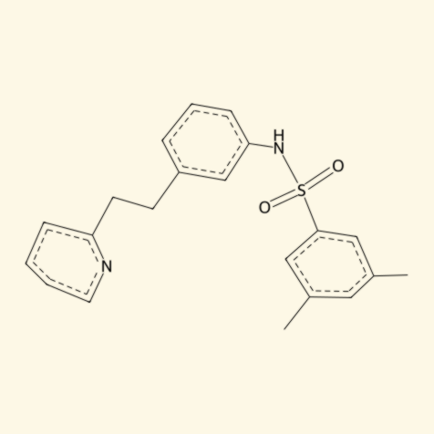 Cc1cc(C)cc(S(=O)(=O)Nc2cccc(CCc3ccccn3)c2)c1